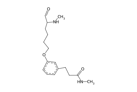 CNC(=O)CCc1cccc(OCCCCC(C=O)NC)c1